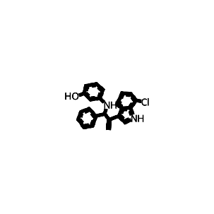 C=C(c1c[nH]c2c(Cl)cccc12)C(Nc1cccc(O)c1)c1ccccc1